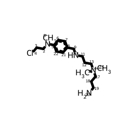 CN(CCCl)c1ccc(CNCCC[N+](C)(C)CCCN)cc1